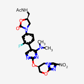 CC(=O)NC[C@H]1CN(c2ccc(-c3cnc(O[C@@H]4COc5nc([N+](=O)[O-])cn5C4)nc3N(C)C)c(F)c2)C(=O)O1